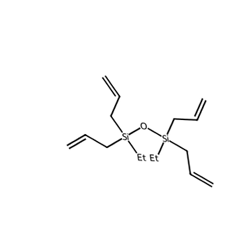 C=CC[Si](CC)(CC=C)O[Si](CC)(CC=C)CC=C